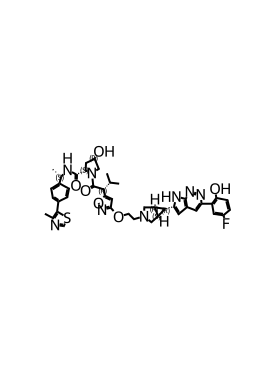 Cc1ncsc1-c1ccc([C@H](C)NC(=O)[C@@H]2C[C@@H](O)CN2C(=O)[C@@H](c2cc(OCCN3C[C@@H]4[C@H](C3)[C@H]4c3cc4cc(-c5cc(F)ccc5O)nnc4[nH]3)no2)C(C)C)cc1